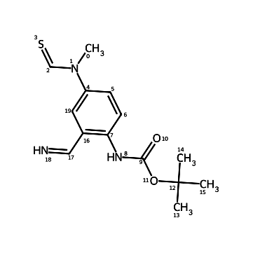 CN(C=S)c1ccc(NC(=O)OC(C)(C)C)c(C=N)c1